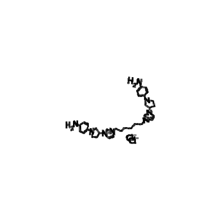 Nc1ccc(N2CCC(n3cc[n+](CCCCCCn4cc[n+](C5CCN(c6ccc(N)cc6)C5)c4)c3)C2)cc1.[Cl-].[Cl-]